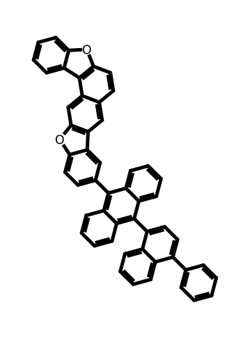 c1ccc(-c2ccc(-c3c4ccccc4c(-c4ccc5oc6cc7c(ccc8oc9ccccc9c87)cc6c5c4)c4ccccc34)c3ccccc23)cc1